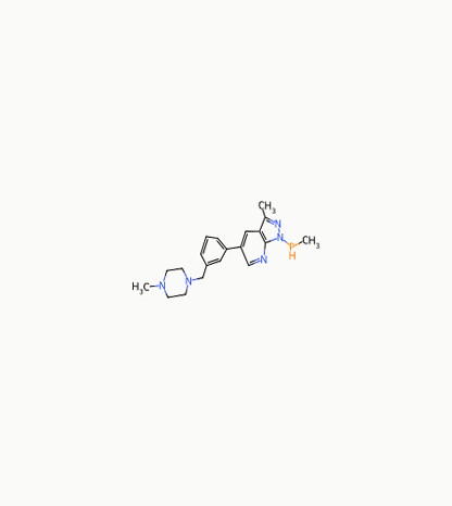 CPn1nc(C)c2cc(-c3cccc(CN4CCN(C)CC4)c3)cnc21